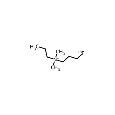 CCC[N+](C)(C)CCC[18F]